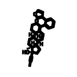 CC#C[C@]1(O)CC[C@H]2[C@@H]3C=CC4=C(c5ccccc5-c5ccoc5)C(=O)CC[C@@H]4[C@H]3CC[C@@]21C